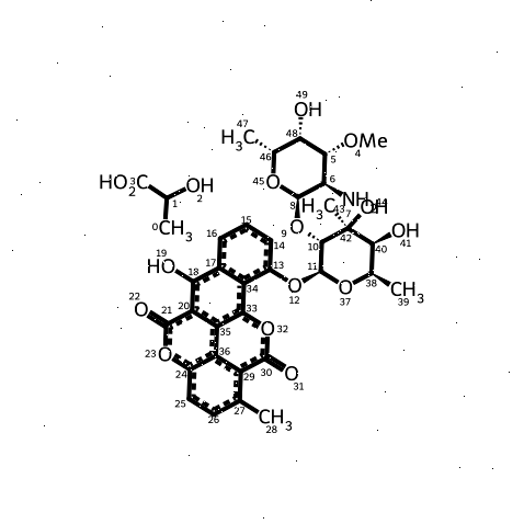 CC(O)C(=O)O.CO[C@@H]1[C@@H](N)[C@@H](O[C@H]2[C@H](Oc3cccc4c(O)c5c(=O)oc6ccc(C)c7c(=O)oc(c34)c5c67)O[C@H](C)[C@H](O)[C@]2(C)O)O[C@H](C)[C@@H]1O